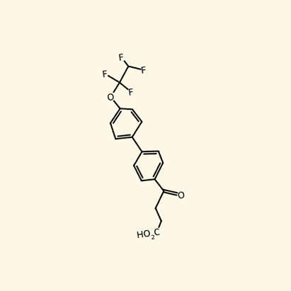 O=C(O)CCC(=O)c1ccc(-c2ccc(OC(F)(F)C(F)F)cc2)cc1